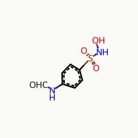 O=CNc1ccc(S(=O)(=O)NO)cc1